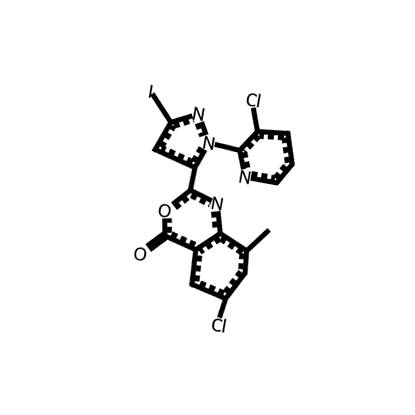 Cc1cc(Cl)cc2c(=O)oc(-c3cc(I)nn3-c3ncccc3Cl)nc12